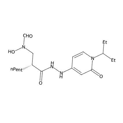 CCCCC[C@H](CN(O)C=O)C(=O)NNc1ccn(C(CC)CC)c(=O)c1